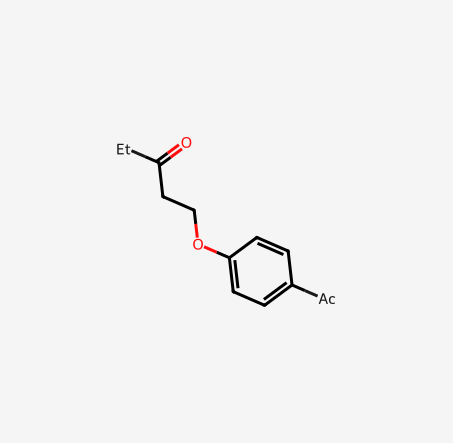 CCC(=O)CCOc1ccc(C(C)=O)cc1